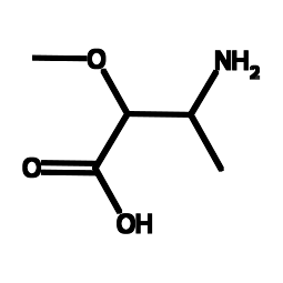 COC(C(=O)O)C(C)N